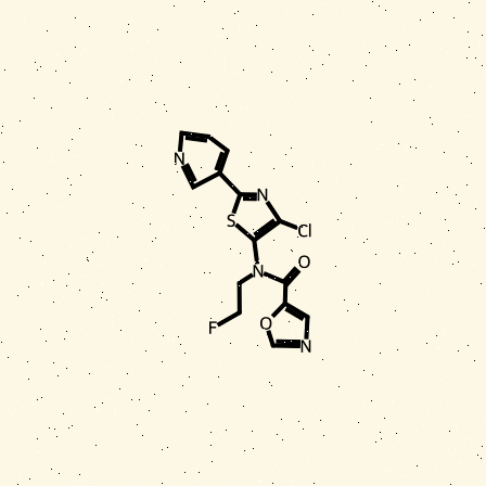 O=C(c1cnco1)N(CCF)c1sc(-c2cccnc2)nc1Cl